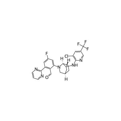 O=Cc1c(-c2ncccn2)cc(F)cc1N1C[C@@H]2CC[C@H]1[C@H](Nc1ncc(C(F)(F)F)cc1Cl)C2